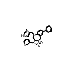 CS(=O)(=O)N1Cc2cc(-c3ccccc3)ccc2N(Cc2c[nH]cn2)C[C@@H]1Cc1cccnc1